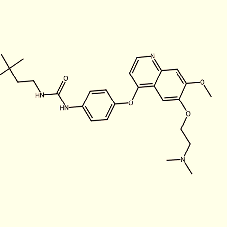 COc1cc2nccc(Oc3ccc(NC(=O)NCCC(C)(C)C)cc3)c2cc1OCCN(C)C